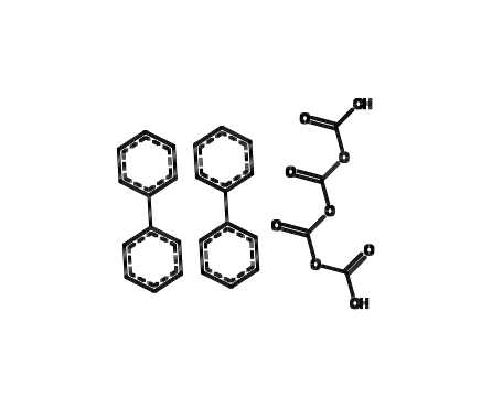 O=C(O)OC(=O)OC(=O)OC(=O)O.c1ccc(-c2ccccc2)cc1.c1ccc(-c2ccccc2)cc1